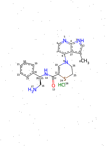 Cc1c[nH]c2nccc(N3C=C(C(=O)N[C@@H](CN)c4ccccc4)SCC3)c12.Cl